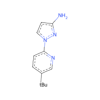 CC(C)(C)c1ccc(-n2ccc(N)n2)nc1